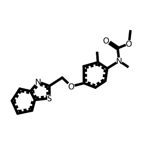 COC(=O)N(C)c1ccc(OCc2nc3ccccc3s2)cc1C